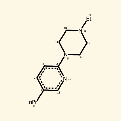 [CH2]CCc1ccc(N2CCN(CC)CC2)nc1